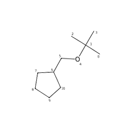 CC(C)(C)OCC1CCCC1